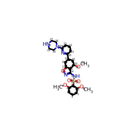 COc1cccc(OC)c1S(=O)(=O)Nc1noc2cc(-c3cccc(N4CCNCC4)n3)cc(OC)c12